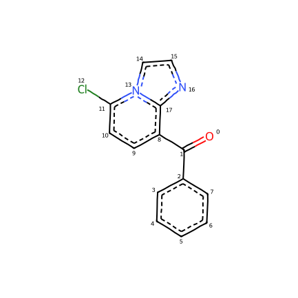 O=C(c1ccccc1)c1ccc(Cl)n2ccnc12